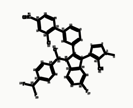 Cn1ccc(-c2c(-c3cccc(-c4ccc(C=O)cc4Cl)c3)n([S+]([O-])c3ccc(C(F)F)cc3)c3ccc(F)cc23)c1C#N